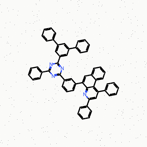 c1ccc(-c2cc(-c3ccccc3)cc(-c3nc(-c4ccccc4)nc(-c4cccc(-c5cc6ccccc6c6c(-c7ccccc7)cc(-c7ccccc7)nc56)c4)n3)c2)cc1